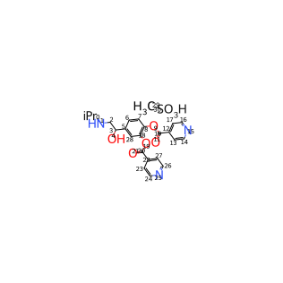 CC(C)NCC(O)c1ccc(OC(=O)c2ccncc2)c(OC(=O)c2ccncc2)c1.CS(=O)(=O)O